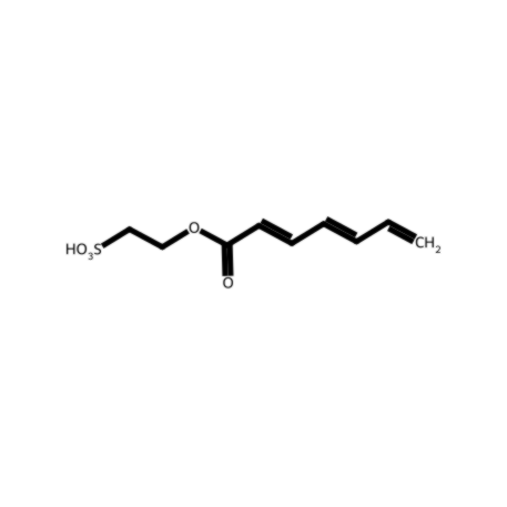 C=C/C=C/C=C/C(=O)OCCS(=O)(=O)O